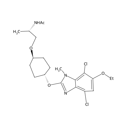 CCOc1cc(Cl)c2nc(O[C@H]3CC[C@H](OC[C@H](C)NC(C)=O)CC3)n(C)c2c1Cl